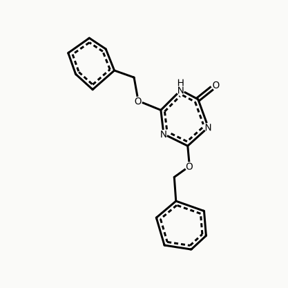 O=c1nc(OCc2ccccc2)nc(OCc2ccccc2)[nH]1